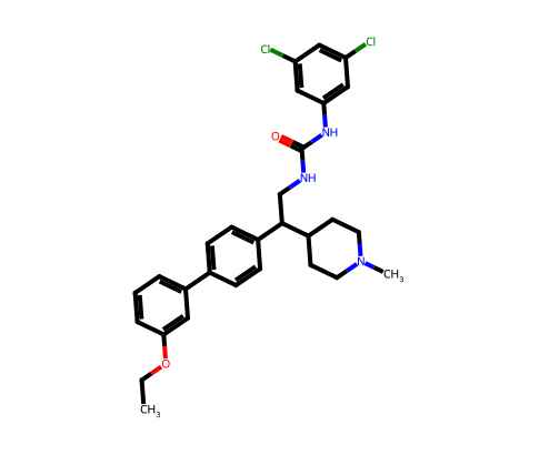 CCOc1cccc(-c2ccc(C(CNC(=O)Nc3cc(Cl)cc(Cl)c3)C3CCN(C)CC3)cc2)c1